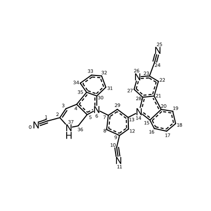 N#CC1=Cc2c(n(-c3cc(C#N)cc(-n4c5ccccc5c5cc(C#N)ncc54)c3)c3ccccc23)CN1